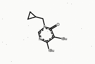 CC(C)(C)c1ncn(CC2CC2)c(=O)c1C(C)(C)C